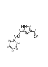 O=Cc1c[nH]c(COCc2ccccc2)n1